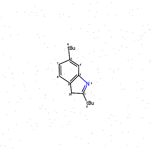 CC(C)(C)C1=Nc2cc(C(C)(C)C)ccc2C1